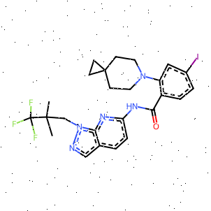 CC(C)(Cn1ncc2ccc(NC(=O)c3ccc(I)cc3N3CCC4(CC3)CC4)nc21)C(F)(F)F